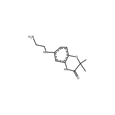 CC1(C)Oc2ccc(NCCN)cc2NC1=O